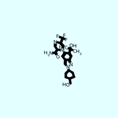 CC(C)(O)c1cc2nn(C3CCC(CO)CC3)cc2cc1N1C=C(C(F)(F)F)N=CC1C(N)=O